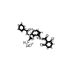 Cc1nc2c(NC(=O)c3c(Cl)cccc3Cl)cccc2n1CC(O)c1ccccc1.Cl